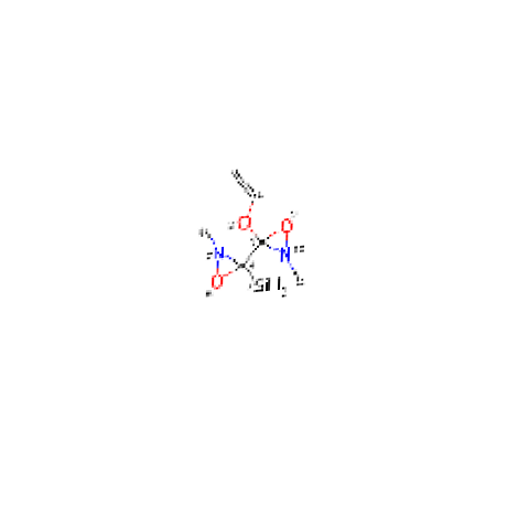 C=COC1(C2([SiH3])ON2C)ON1C